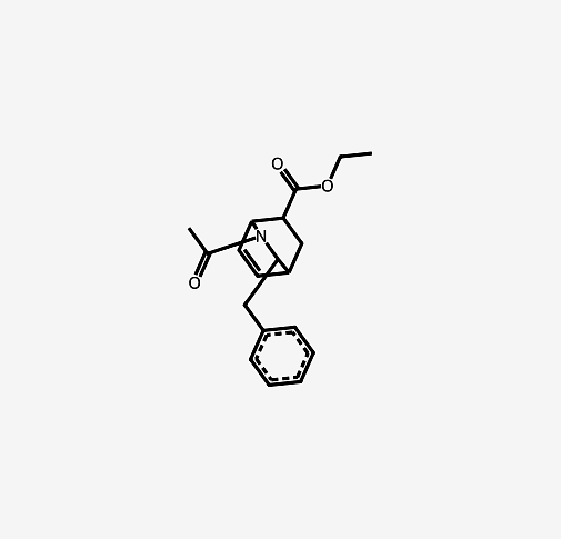 CCOC(=O)C1CC2C=CC1N(C(C)=O)C2Cc1ccccc1